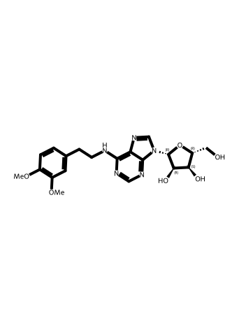 COc1ccc(CCNc2ncnc3c2ncn3[C@@H]2O[C@H](CO)[C@@H](O)[C@H]2O)cc1OC